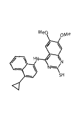 COc1cc2nc(S)nc(Nc3ccc(C4CC4)c4ccccc34)c2cc1OC